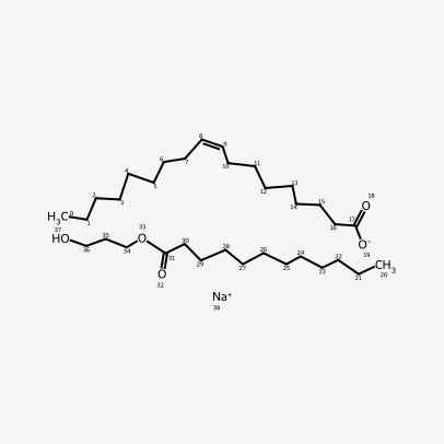 CCCCCCCC/C=C\CCCCCCCC(=O)[O-].CCCCCCCCCCCC(=O)OCCCO.[Na+]